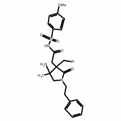 COc1ccc(S(=O)(=O)NC(=O)CC2(CC(C)C)C(=O)N(CCc3ccccc3)CC2(C)N)cc1